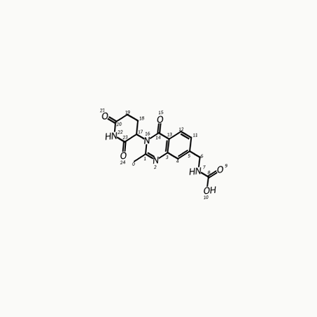 Cc1nc2cc(CNC(=O)O)ccc2c(=O)n1C1CCC(=O)NC1=O